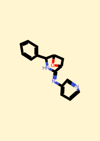 c1ccc(C2N/C(=N/c3cccnc3)C3CC2O3)cc1